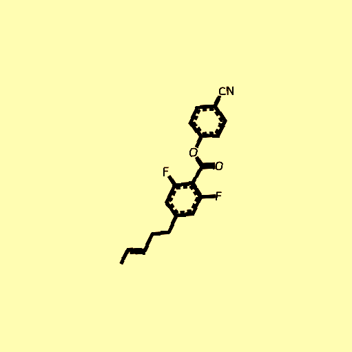 CC=CCCc1cc(F)c(C(=O)Oc2ccc(C#N)cc2)c(F)c1